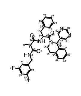 CC(C(=O)NCc1cc(F)cc(F)c1)C(=O)NC(Cc1ccccc1)C(=O)N1CCc2ccccc2C1c1cncnc1